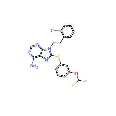 Nc1ncnc2c1nc(Sc1cccc(OC(F)F)c1)n2CCc1ccccc1Cl